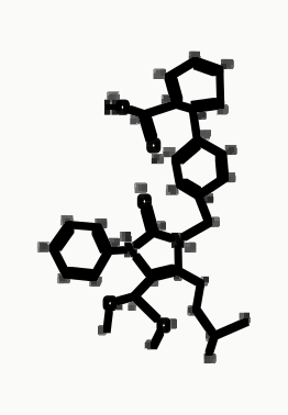 COC(OC)c1c(CCC(C)C)n(Cc2ccc(-c3ccccc3C(=O)O)cc2)c(=O)n1-c1ccccc1